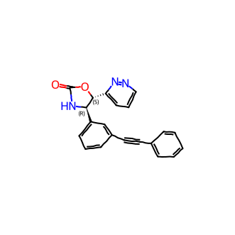 O=C1N[C@H](c2cccc(C#Cc3ccccc3)c2)[C@@H](c2cccnn2)O1